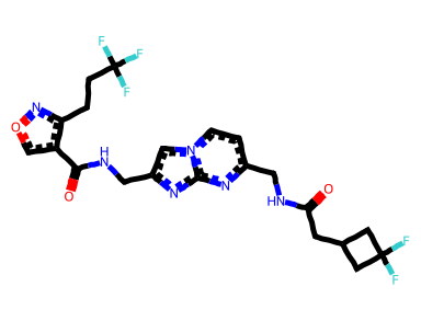 O=C(CC1CC(F)(F)C1)NCc1ccn2cc(CNC(=O)c3conc3CCC(F)(F)F)nc2n1